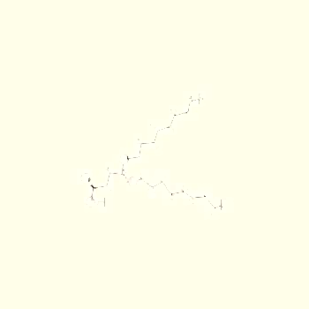 O=C(O)CCC(OCCCCCCCCF)OCCCCCCCCF